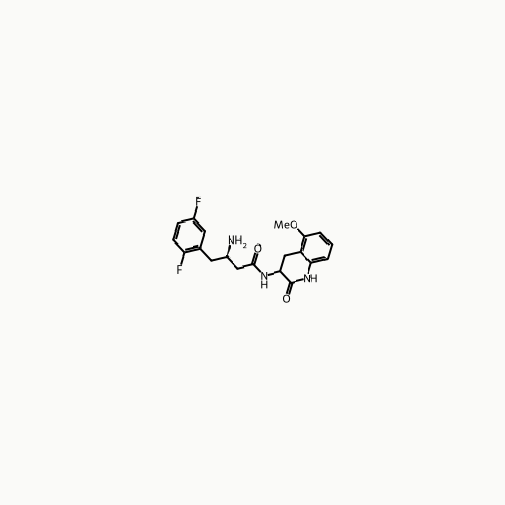 COc1cccc2c1CC(NC(=O)C[C@H](N)Cc1cc(F)ccc1F)C(=O)N2